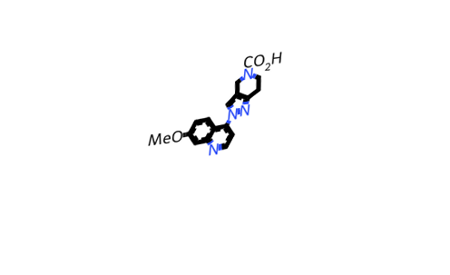 COc1ccc2c(-n3cc4c(n3)CCN(C(=O)O)C4)ccnc2c1